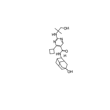 CC(C)(CO)Nc1ncc(C(=O)N[C@H]2C3CC4CC2C[C@@](O)(C4)C3)c(C2CCC2)n1